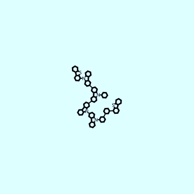 c1ccc(-n2c3ccc(-c4ccc5c(c4)c4ccccc4n5-c4cccc5c4sc4ccccc45)cc3c3cc(-c4ccc5c6ccccc6n(-c6ccc7c(c6)c6ccccc6n7-c6cccc(-c7cccc(-c8cccc9c8sc8ccccc89)c7)c6)c5c4)ccc32)cc1